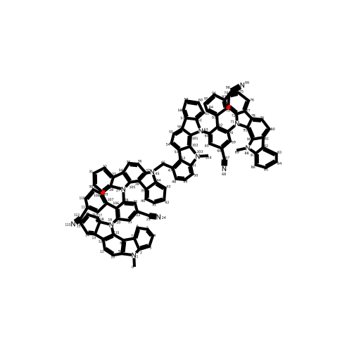 Cn1c2ccccc2c2c1ccc1c3ccccc3n(-c3cc(C#N)cc(-n4c5ccccc5c5ccc6c(c7ccccc7n6Cc6cccc7c6c6ccc8c9ccccc9n(-c9cc(C#N)cc(-n%10c%11ccccc%11c%11ccc%12c%13ccccc%13n(C)c%12c%11%10)c9-c9cccc(C#N)c9)c8c6n7C)c54)c3-c3cccc(C#N)c3)c12